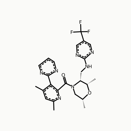 Cc1cc(C)c(-c2ncccn2)c(C(=O)N2C[C@@H](C)O[C@@H](C)[C@H]2CNc2ncc(C(F)(F)F)cn2)n1